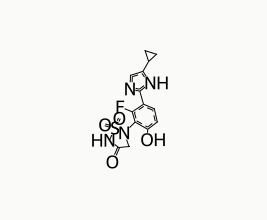 O=C1CN(c2c(O)ccc(-c3ncc(C4CC4)[nH]3)c2F)S(=O)(=O)N1